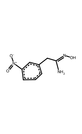 N/C(Cc1cccc([N+](=O)[O-])c1)=N\O